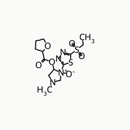 CCS(=O)(=O)c1nnc([N+]2([O-])CN(C)CC2OC(=O)C2CCCO2)s1